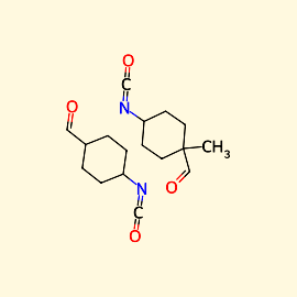 CC1(C=O)CCC(N=C=O)CC1.O=C=NC1CCC(C=O)CC1